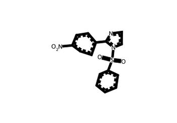 O=[N+]([O-])c1ccc(-c2nccn2S(=O)(=O)c2ccccc2)cc1